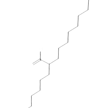 CCCCCCCCC(CCCCCC)C(=S)Cl